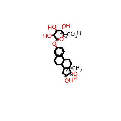 C[C@]12CCC3c4ccc(O[C@@H]5O[C@H](C(=O)O)[C@@H](O)[C@H](O)[C@H]5O)cc4CCC3C1C[C@@H](O)[C@@H]2O